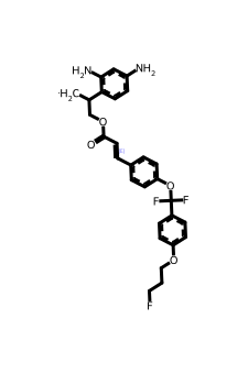 [CH2]C(COC(=O)/C=C/c1ccc(OC(F)(F)c2ccc(OCCCF)cc2)cc1)c1ccc(N)cc1N